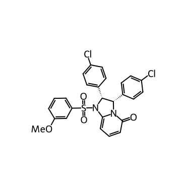 COc1cccc(S(=O)(=O)N2c3cccc(=O)n3[C@@H](c3ccc(Cl)cc3)[C@H]2c2ccc(Cl)cc2)c1